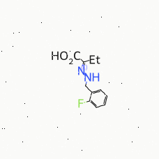 CC/C(=N\NCc1ccccc1F)C(=O)O